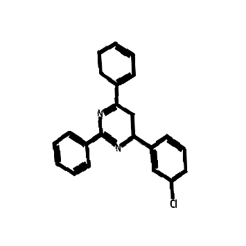 ClC1C=C(C2CC(C3=CC=CCC3)=NC(c3ccccc3)=N2)C=CC1